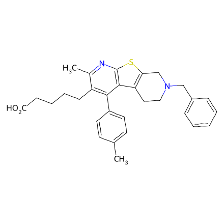 Cc1ccc(-c2c(CCCCC(=O)O)c(C)nc3sc4c(c23)CCN(Cc2ccccc2)C4)cc1